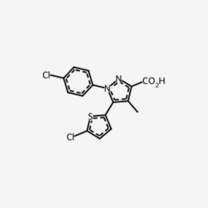 Cc1c(C(=O)O)nn(-c2ccc(Cl)cc2)c1-c1ccc(Cl)s1